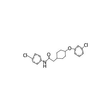 O=C(CC1CCC(Oc2cccc(Cl)c2)CC1)Nc1ccc(Cl)cc1